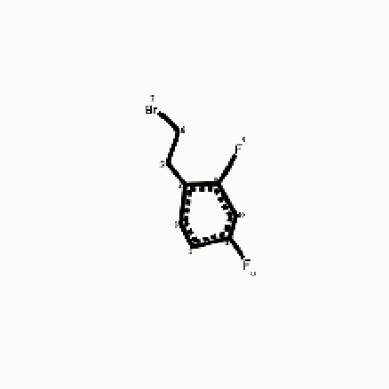 Fc1ccc(CCBr)c(F)c1